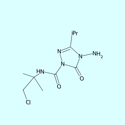 CC(C)c1nn(C(=O)NC(C)(C)CCl)c(=O)n1N